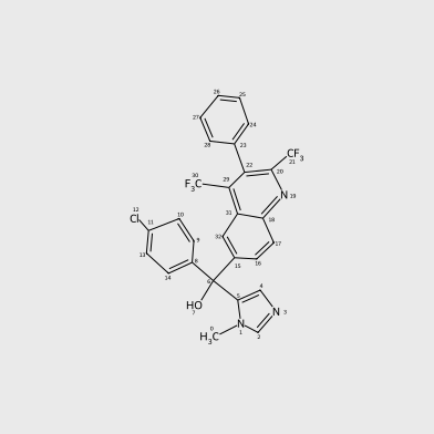 Cn1cncc1C(O)(c1ccc(Cl)cc1)c1ccc2nc(C(F)(F)F)c(-c3ccccc3)c(C(F)(F)F)c2c1